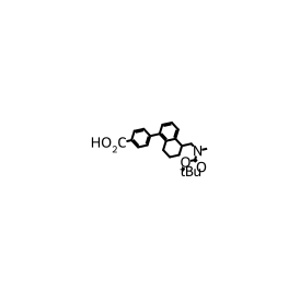 CN(CC1CCCc2c(-c3ccc(C(=O)O)cc3)cccc21)C(=O)OC(C)(C)C